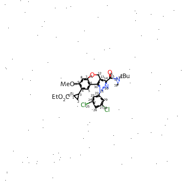 CCOC(=O)[C@H]1CC1c1cc2c(cc1OC)OCc1c(C(=O)N(C)C(C)(C)C)nn(-c3cc(Cl)cc(Cl)c3)c1-2